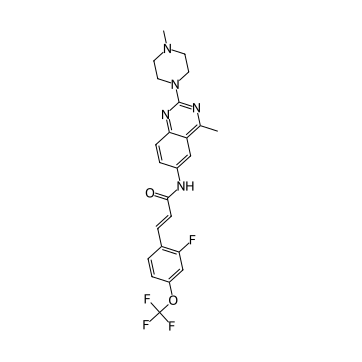 Cc1nc(N2CCN(C)CC2)nc2ccc(NC(=O)C=Cc3ccc(OC(F)(F)F)cc3F)cc12